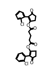 O=C(CCCC(=O)OC1=C(c2ccccc2Cl)C(=O)CC1)OC1=C(c2ccccc2Cl)C(=O)CC1